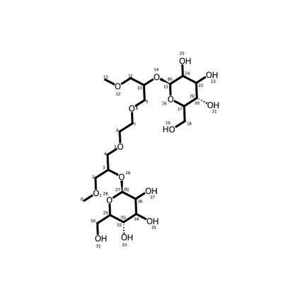 COCC(COCCOCC(COC)O[C@@H]1OC(CO)[C@@H](O)C(O)C1O)O[C@@H]1OC(CO)[C@@H](O)C(O)C1O